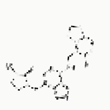 CN1CCC(Oc2cnc(NCc3c(F)ccc4c3CCO4)n3cnnc23)C1=O